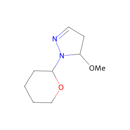 COC1CC=NN1C1CCCCO1